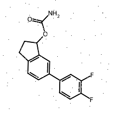 NC(=O)OC1CCc2ccc(-c3ccc(F)c(F)c3)cc21